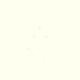 CC(C)(C)OC(=O)N1CCOC2CCN(c3nc4c(F)cc(F)cc4[nH]3)CC21